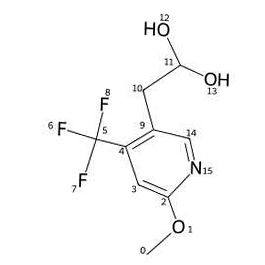 COc1cc(C(F)(F)F)c(CC(O)O)cn1